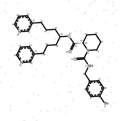 CC(C)c1ccc(CNC(=O)N2CCCC[C@H]2C(=O)OC(CCCc2cccnc2)CCCc2cccnc2)cc1